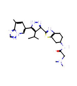 Cc1cc(-c2[nH]nc(-c3nc4c(s3)CC(NC(=O)CN(C)C)CC4)c2C(C)C)cn2ncnc12